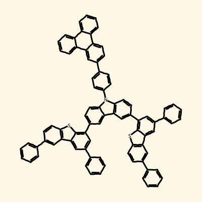 c1ccc(-c2ccc3sc4c(-c5ccc6c(c5)c5cc(-c7cc(-c8ccccc8)cc8c7sc7ccc(-c9ccccc9)cc78)ccc5n6-c5ccc(-c6ccc7c8ccccc8c8ccccc8c7c6)cc5)cc(-c5ccccc5)cc4c3c2)cc1